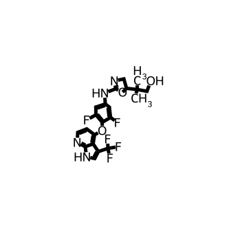 CC(C)(CO)C1CN=C(Nc2cc(F)c(Oc3ccnc4[nH]cc(C(F)(F)F)c34)c(F)c2)O1